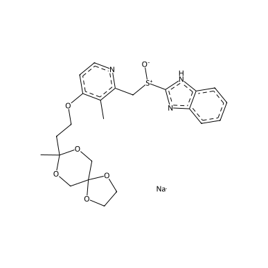 Cc1c(OCCC2(C)OCC3(CO2)OCCO3)ccnc1C[S+]([O-])c1nc2ccccc2[nH]1.[Na]